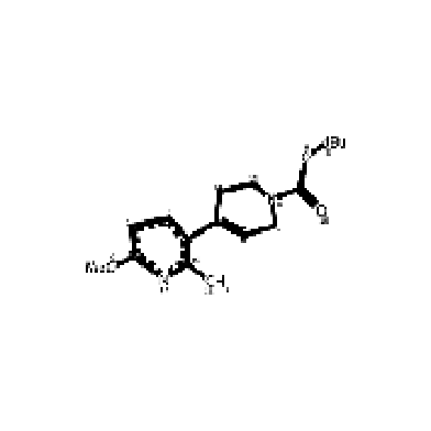 COc1ccc(C2=CCN(C(=O)OC(C)(C)C)CC2)c(C)n1